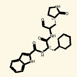 O=CC(C[C@@H]1CCNC1=O)NC(=O)[C@H](CC1CCCCC1)NC(=O)c1cc2ccccc2[nH]1